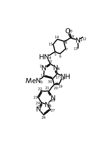 CNc1nc(NC2CCC(C(=O)N(C)C)CC2)nc2[nH]cc(-c3ccc4nccn4n3)c12